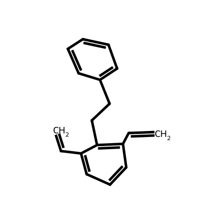 C=Cc1cccc(C=C)c1CCc1ccccc1